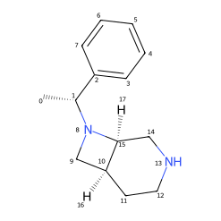 C[C@H](c1ccccc1)N1C[C@@H]2CCNC[C@@H]21